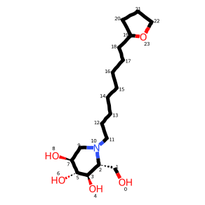 OC[C@@H]1[C@@H](O)[C@H](O)[C@@H](O)CN1CCCCCCCCC1CCCO1